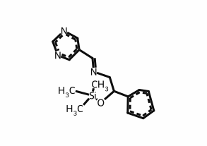 C[Si](C)(C)OC(CN=Cc1cncnc1)c1ccccc1